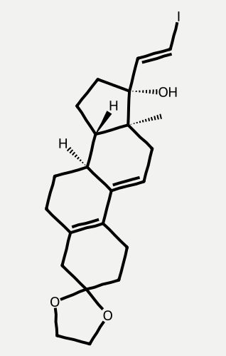 C[C@]12CC=C3C4=C(CC[C@H]3[C@@H]1CC[C@@]2(O)C=CI)CC1(CC4)OCCO1